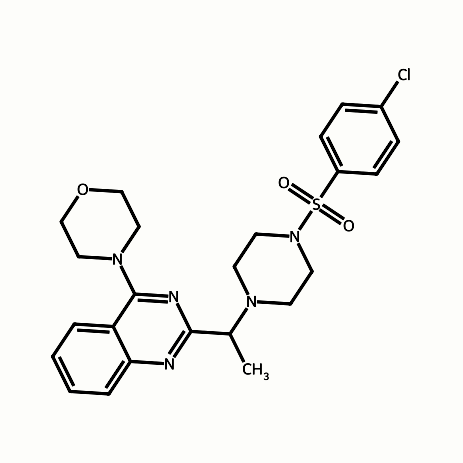 CC(c1nc(N2CCOCC2)c2ccccc2n1)N1CCN(S(=O)(=O)c2ccc(Cl)cc2)CC1